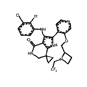 CCc1c(Cl)cccc1Nc1c(-c2ccncc2OCC2CCN2CC(F)(F)F)[nH]c2c1C(=O)NCC21CC1